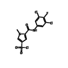 Cn1cc(S(=O)(=O)Cl)cc1C(=O)Nc1cc(Cl)c(F)c(Cl)c1